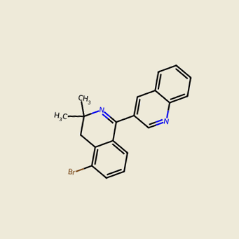 CC1(C)Cc2c(Br)cccc2C(c2cnc3ccccc3c2)=N1